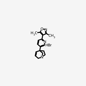 Br.Cc1noc(C)c1-c1ccc(C23C=CCN(CC2)C3)cn1